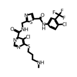 CNCCCSc1ncnc(C(=O)NCc2ncc(C(=O)Nc3ccc(Cl)c(C(F)(F)F)c3)s2)c1Cl